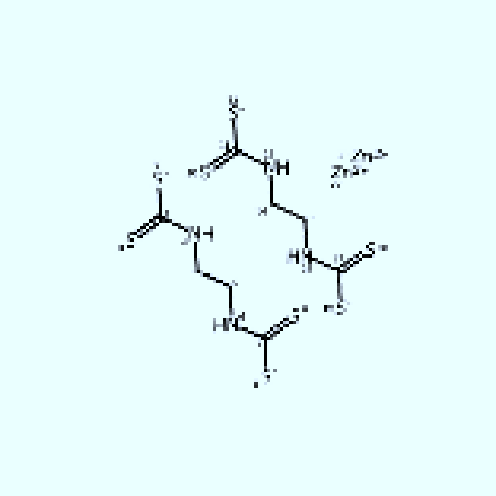 S=C([S-])NCCNC(=S)[S-].S=C([S-])NCCNC(=S)[S-].[Zn+2].[Zn+2]